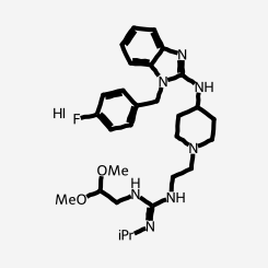 COC(CN/C(=N\C(C)C)NCCN1CCC(Nc2nc3ccccc3n2Cc2ccc(F)cc2)CC1)OC.I